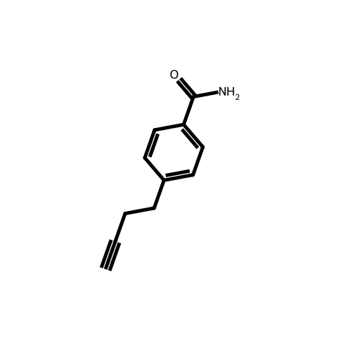 C#CCCc1ccc(C(N)=O)cc1